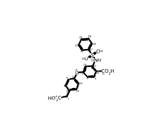 O=C(O)Cc1ccc(Oc2ccc(C(=O)O)c(NS(=O)(=O)c3ccccc3)c2)cc1